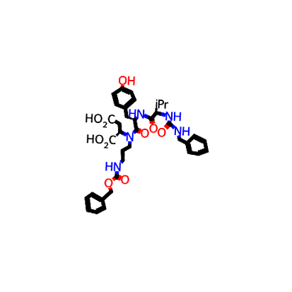 CC(C)[C@@H](NC(=O)NCc1ccccc1)C(=O)N[C@H](Cc1ccc(O)cc1)C(=O)N(CCCNC(=O)OCc1ccccc1)[C@H](CC(=O)O)C(=O)O